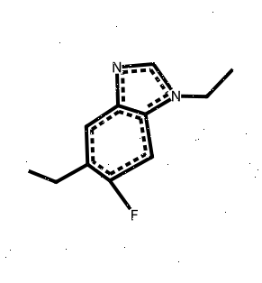 CCc1cc2ncn(CC)c2cc1F